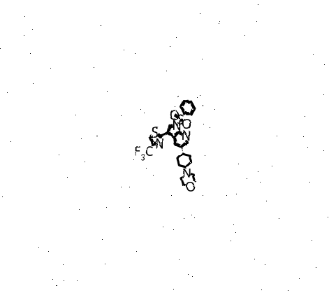 O=S(=O)(c1ccccc1)n1cc(-c2nc(C(F)(F)F)cs2)c2cc([C@H]3CC[C@H](N4CCOCC4)CC3)cnc21